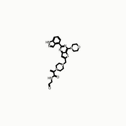 C=C(C(=O)NCC=O)N1CCN(Cc2cc3nc(-c4cccc5[nH]ncc45)nc(N4CCOCC4)c3s2)CC1